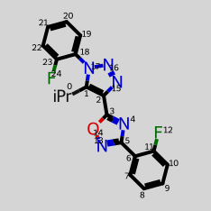 CC(C)c1c(-c2nc(-c3ccccc3F)no2)nnn1-c1ccccc1F